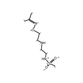 CC(C)=NOCCNCCNS(C)(=O)=O